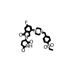 CCS(=O)(=O)c1ccc(CN2CCN(c3cc(F)cc4c3CN(C3CCC(=O)NC3=O)C4=O)CC2)cc1